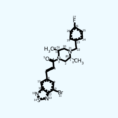 C[C@@H]1CN(C(=O)C=Cc2cc(Br)c3nsnc3c2)[C@@H](C)CN1Cc1ccc(F)cc1